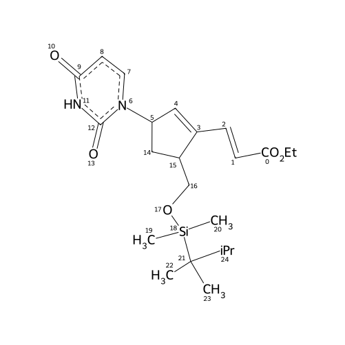 CCOC(=O)C=CC1=CC(n2ccc(=O)[nH]c2=O)CC1CO[Si](C)(C)C(C)(C)C(C)C